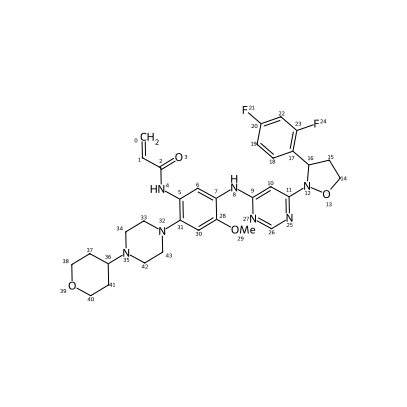 C=CC(=O)Nc1cc(Nc2cc(N3OCCC3c3ccc(F)cc3F)ncn2)c(OC)cc1N1CCN(C2CCOCC2)CC1